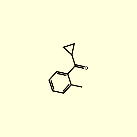 Cc1ccccc1C(=O)C1CC1